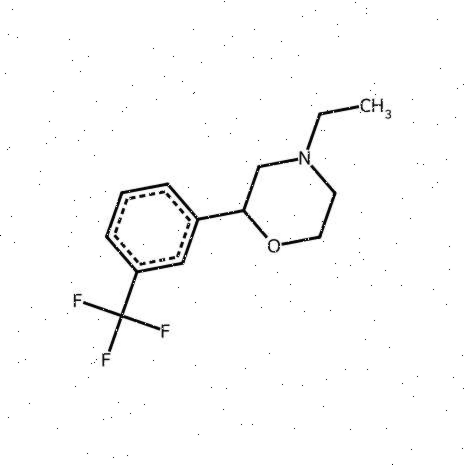 CCN1CCOC(c2cccc(C(F)(F)F)c2)C1